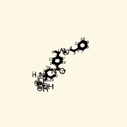 CC(=NOCCc1ccccc1)c1ccc(C(=O)N2CCC(N)(COP(=O)(O)O)CC2)cc1